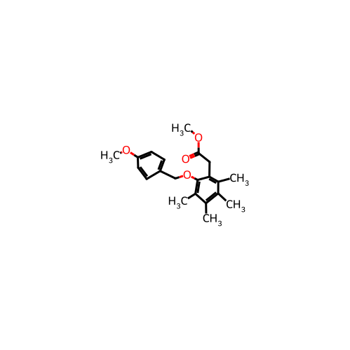 COC(=O)Cc1c(C)c(C)c(C)c(C)c1OCc1ccc(OC)cc1